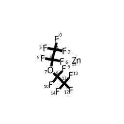 FC(F)(F)C(F)(F)OC(F)(F)C(F)(F)F.[Zn]